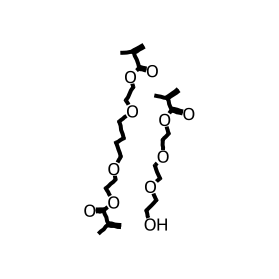 C=C(C)C(=O)OCCOCCCCOCCOC(=O)C(=C)C.C=C(C)C(=O)OCCOCCOCCO